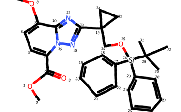 COC(=O)c1ccc(OC)c2nc(C3(CO[Si](c4ccccc4)(c4ccccc4)C(C)(C)C)CC3)nn12